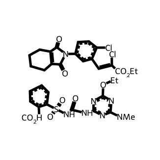 CCOC(=O)/C(Cl)=C/c1cc(N2C(=O)C3=C(CCCC3)C2=O)ccc1Cl.CCOc1nc(NC)nc(NC(=O)NS(=O)(=O)c2ccccc2C(=O)O)n1